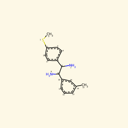 CSc1ccc(C(N)C(N)c2cccc(C)c2)cc1